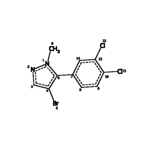 Cn1ncc(Br)c1-c1ccc(Cl)c(Cl)c1